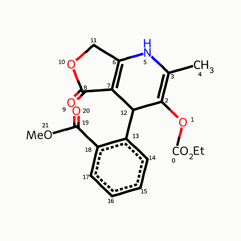 CCOC(=O)OC1=C(C)NC2=C(C(=O)OC2)C1c1ccccc1C(=O)OC